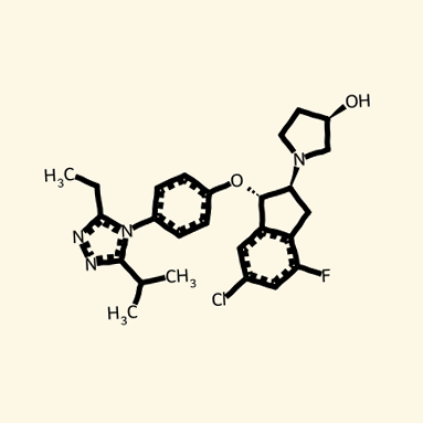 CCc1nnc(C(C)C)n1-c1ccc(O[C@H]2c3cc(Cl)cc(F)c3C[C@@H]2N2CC[C@@H](O)C2)cc1